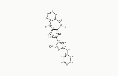 C[C@H]1Oc2cccnc2N(C)C(=O)[C@H]1NC(O)c1nn(Cc2ccccc2)cc1Cl